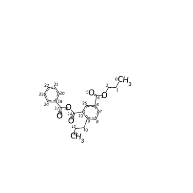 CCCOC(=O)c1ccc(CCC)c(C(=O)OC(=O)c2ccccc2)c1